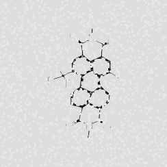 Cc1cc2c3c(cc(C(F)(F)F)c4c5ccc6c7c(ccc(c1c34)c75)C(=O)N(C)C6=O)C(=O)N(C)C2=O